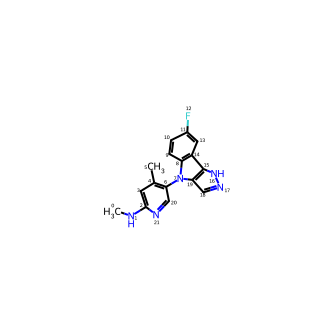 CNc1cc(C)c(-n2c3ccc(F)cc3c3[nH]ncc32)cn1